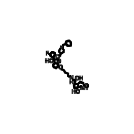 O=C(OCC1CCN(Cc2ccccc2)CC1)C(O)(c1cccc(F)c1)c1cccc(OCCCCCNC[C@H](O)c2ccc(O)c3[nH]c(=O)ccc23)c1